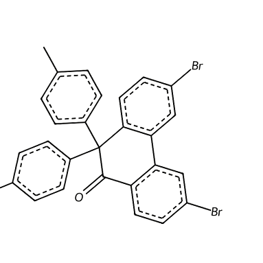 Cc1ccc(C2(c3ccc(C)cc3)C(=O)c3ccc(Br)cc3-c3cc(Br)ccc32)cc1